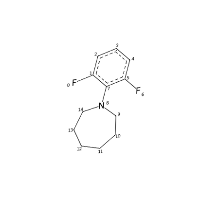 Fc1c[c]cc(F)c1N1CCCCCC1